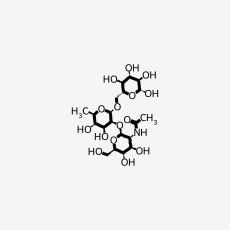 CC(=O)N[C@H]1[C@H](O[C@@H]2[C@@H](OC[C@H]3O[C@@H](O)[C@H](O)[C@@H](O)[C@@H]3O)O[C@H](C)[C@@H](O)[C@@H]2O)O[C@H](CO)[C@@H](O)[C@@H]1O